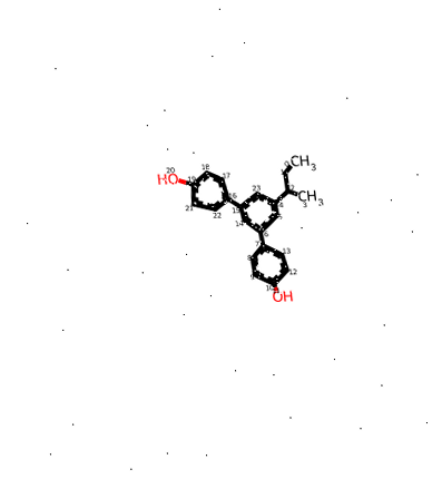 CCC(C)c1cc(-c2ccc(O)cc2)cc(-c2ccc(O)cc2)c1